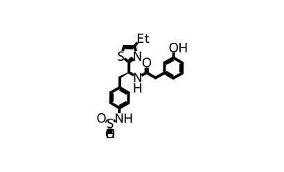 CCc1csc([C@H](Cc2ccc(N[SH](=O)=O)cc2)NC(=O)Cc2cccc(O)c2)n1